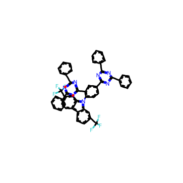 FC(F)(F)c1ccc2c3ccc(C(F)(F)F)cc3n(-c3ccc(-c4nc(-c5ccccc5)nc(-c5ccccc5)n4)cc3-c3nc(-c4ccccc4)nc(-c4ccccc4)n3)c2c1